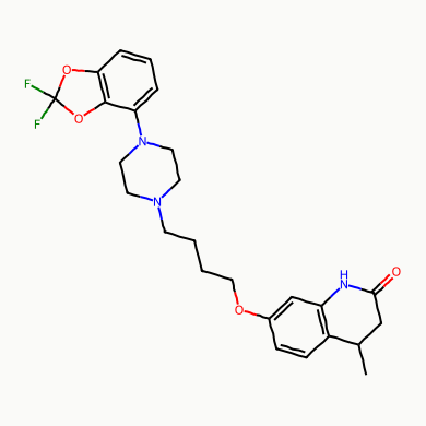 CC1CC(=O)Nc2cc(OCCCCN3CCN(c4cccc5c4OC(F)(F)O5)CC3)ccc21